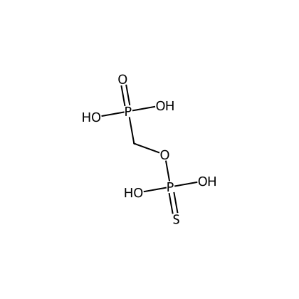 O=P(O)(O)COP(O)(O)=S